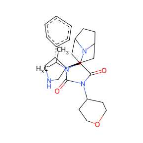 CC(C)N1C(=O)N(C2CCOCC2)C(=O)C12CC1CCC(C2)N1C[C@H]1CNC[C@@H]1c1ccccc1